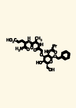 CC(C)C(=O)N[C@H]1[C@@H](OCc2ccccc2)O[C@H](CO)[C@@H](O)[C@@H]1OCC(=O)NC(C)C(=O)NC(CCC(=O)O)C(N)=O